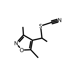 Cc1noc(C)c1C(C)SC#N